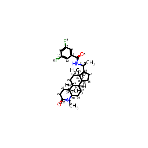 CC(NC(=O)c1cc(F)cc(F)c1)[C@H]1CC[C@H]2[C@@H]3CCC4N(C)C(=O)CC[C@]4(C)[C@H]3CC[C@]12C